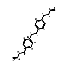 C=CCCc1ccc(CCc2ccc(CCC=C)cc2)cc1